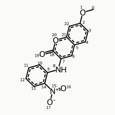 COc1ccc2cc(Nc3ccccc3[N+](=O)[O-])c(=O)oc2c1